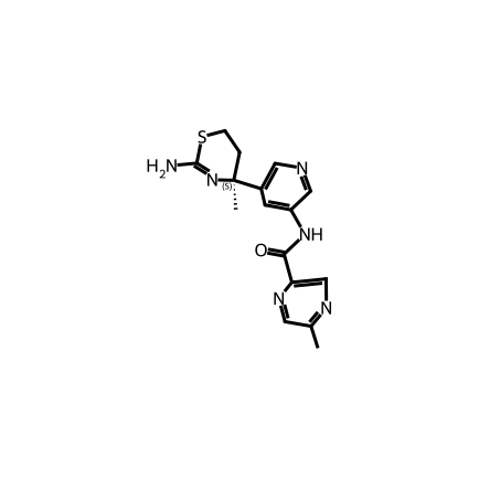 Cc1cnc(C(=O)Nc2cncc([C@]3(C)CCSC(N)=N3)c2)cn1